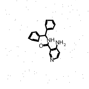 Nc1ccncc1C(=O)NC(c1ccccc1)c1ccccc1